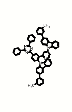 Cc1cccc(-c2ccc3c(c2)c2ccccc2n3-c2ccnc(-c3cc(-c4nc(-c5ccccc5)nc(-c5ccccc5)n4)ccc3-n3c4ccccc4c4cc(-c5cccc(C)c5)ccc43)c2)c1